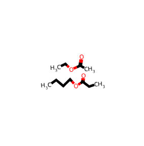 CCCCOC(=O)CC.CCOC(C)=O